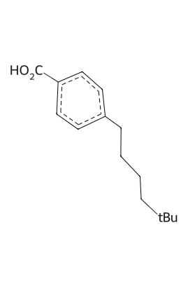 CC(C)(C)CCCCc1ccc(C(=O)O)cc1